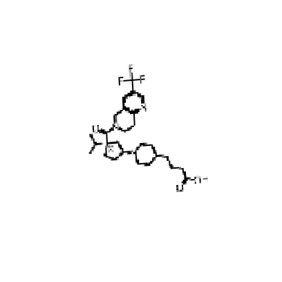 CC(C)[C@]1(C(=O)N2CCc3ncc(C(F)(F)F)cc3C2)CCC(N2CCC(CCCC(=O)O)CC2)C1